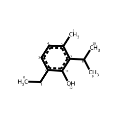 CCc1ccc(C)c(C(C)C)c1O